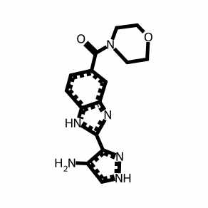 Nc1c[nH]nc1-c1nc2cc(C(=O)N3CCOCC3)ccc2[nH]1